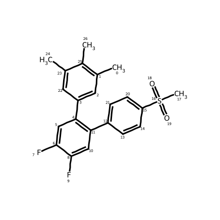 Cc1cc(-c2cc(F)c(F)cc2-c2ccc(S(C)(=O)=O)cc2)cc(C)c1C